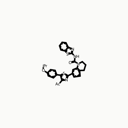 CC(=O)c1nc(-c2ccc3c(c2)N(C(=O)Nc2nc4ccccc4s2)CCC3)sc1-c1ccc(OC(C)C)cc1